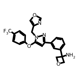 NC1(c2cccc(-c3cc(Oc4ccc(C(F)(F)F)cc4)n(Cc4cocn4)n3)c2)COC1